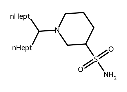 CCCCCCCC(CCCCCCC)N1CCCC(S(N)(=O)=O)C1